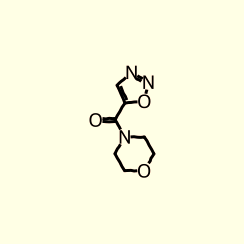 O=C(c1cnno1)N1CCOCC1